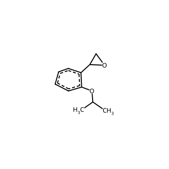 CC(C)Oc1ccccc1C1CO1